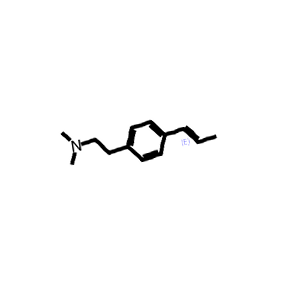 C/C=C/c1ccc(CCN(C)C)cc1